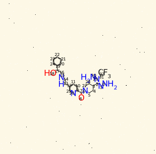 N/N=C(/C1CCN(C(=O)c2ccc(CCNCC(O)c3ccccc3)cn2)CC1)N(N)CC(F)(F)F